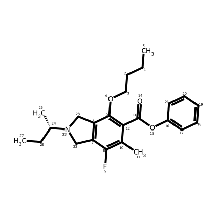 CCCCOc1c2c(c(F)c(C)c1C(=O)Oc1ccccc1)CN([C@@H](C)CC)C2